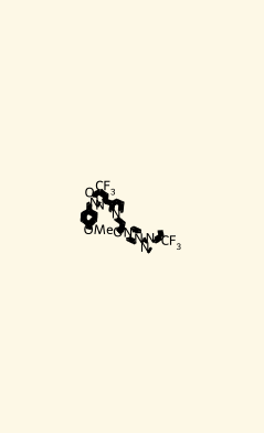 C=N/C(=N\C=C(/C)C(F)(F)F)N1CCN(C(=O)CCN2CCCC(c3cc(C(F)(F)F)c(=O)n(Cc4ccc(OC)cc4)n3)C2)CC1